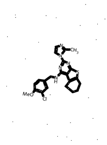 COc1ccc(CNc2nc(-n3ccnc3C)nc3sc4c(c23)CCCC4)cc1Cl